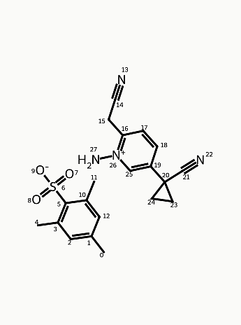 Cc1cc(C)c(S(=O)(=O)[O-])c(C)c1.N#CCc1ccc(C2(C#N)CC2)c[n+]1N